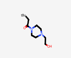 CC(C)(C)CC(=O)N1CCN(CCO)CC1